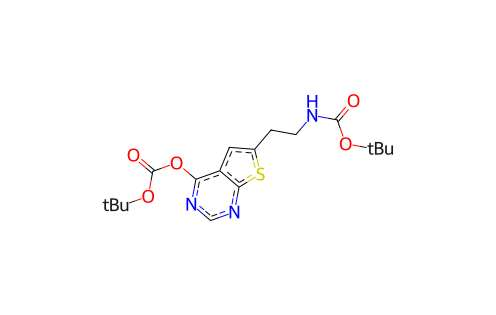 CC(C)(C)OC(=O)NCCc1cc2c(OC(=O)OC(C)(C)C)ncnc2s1